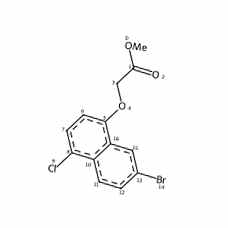 COC(=O)COc1ccc(Cl)c2ccc(Br)cc12